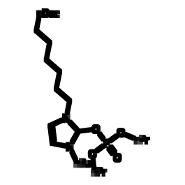 CCCCCCCCCCCCCCCCN1C=CN(CCCC)C1OP(=O)(OCCC)OCCC